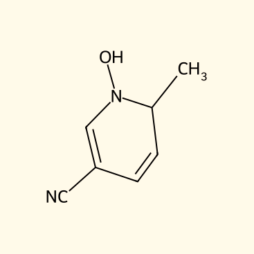 CC1C=CC(C#N)=CN1O